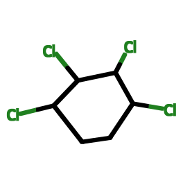 ClC1CCC(Cl)C(Cl)C1Cl